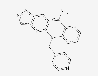 NC(=O)c1ccccc1N(Cc1ccncc1)c1ccc2[nH]ncc2c1